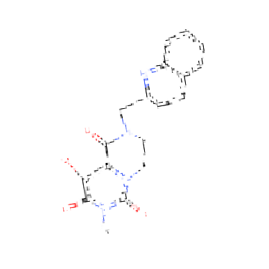 CC(C)n1c(=O)c(O)c2n(c1=O)CCN(Cc1ccc3ccccc3n1)C2=O